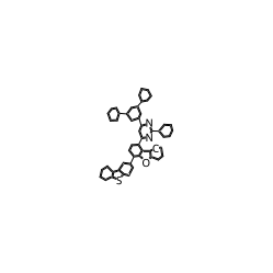 c1ccc(-c2cc(-c3ccccc3)cc(-c3cc(-c4ccc(-c5ccc6sc7ccccc7c6c5)c5oc6ccccc6c45)nc(-c4ccccc4)n3)c2)cc1